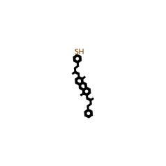 C/C(=C\c1ccc2cc3c(C)c(/C=C(\C)CCc4ccc(S)cc4)ccc3cc2c1C)CCc1ccccc1